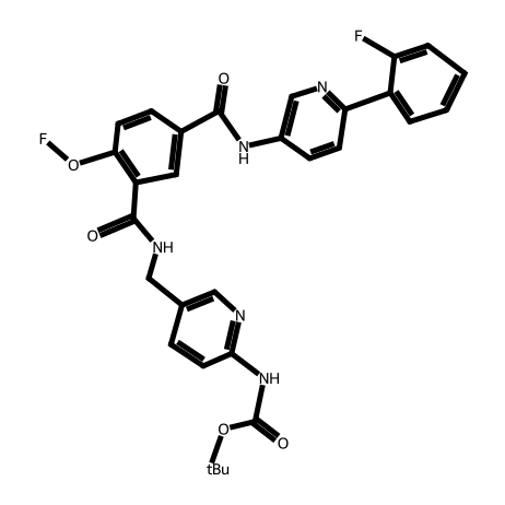 CC(C)(C)OC(=O)Nc1ccc(CNC(=O)c2cc(C(=O)Nc3ccc(-c4ccccc4F)nc3)ccc2OF)cn1